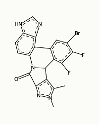 Cc1c2c(nn1C)C(=O)N1c3ccc4[nH]cnc4c3-c3cc(Br)c(F)c(F)c3C21